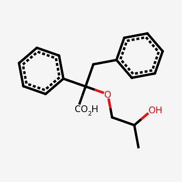 CC(O)COC(Cc1ccccc1)(C(=O)O)c1ccccc1